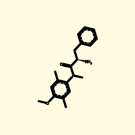 COc1cc(C)c(N(C)C(=O)[C@@H](N)Cc2ccccc2)cc1C